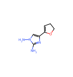 Nc1nc(C2=CCCO2)cn1N